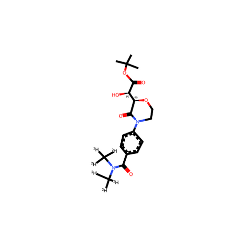 [2H]C([2H])([2H])N(C(=O)c1ccc(N2CCO[C@H]([C@@H](O)C(=O)OC(C)(C)C)C2=O)cc1)C([2H])([2H])[2H]